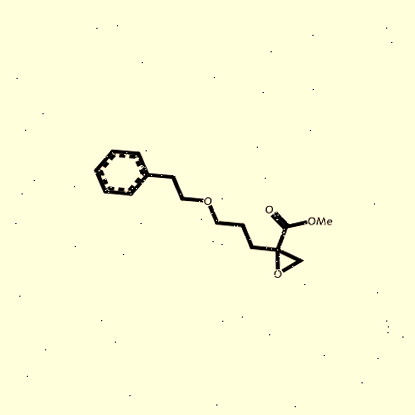 COC(=O)C1(CCCOCCc2ccccc2)CO1